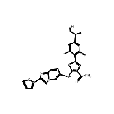 CC(CO)c1cc(F)c(-c2cc(C(N)=O)c(Nc3ccc4nc(-c5ccco5)cn4n3)s2)c(F)c1